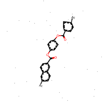 CC(=O)c1ccc(C(=O)Oc2ccc(OC(=O)c3ccc4cc(C(C)=O)ccc4c3)cc2)cc1